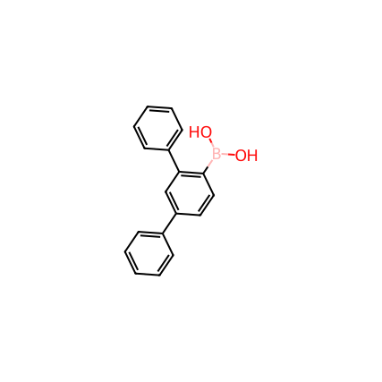 OB(O)c1ccc(-c2ccccc2)cc1-c1ccccc1